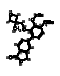 CCCCOc1c(OC)ccc(-c2ccc3c(c2)COC3=O)c1OCC1(C)COC1